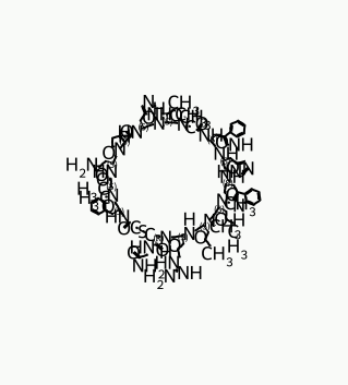 CCCC[C@H]1C(=O)N(C)[C@@H](CCCC)C(=O)N[C@@H](CCCNC(=N)N)C(=O)N[C@H](C(=O)NCC(N)=O)CSCC(=O)N[C@@H](Cc2ccccc2)C(=O)N(C)[C@@H](C)C(=O)N[C@@H](CC(N)=O)C(=O)N2CCC[C@H]2C(=O)N[C@@H](Cc2cnc[nH]2)C(=O)N[C@@H](CC(C)C)C(=O)N(C)CC(=O)N[C@@H](Cc2c[nH]c3ccccc23)C(=O)N[C@@H](Cc2cnc[nH]2)C(=O)N[C@@H](Cc2c[nH]c3ccccc23)C(=O)N1C